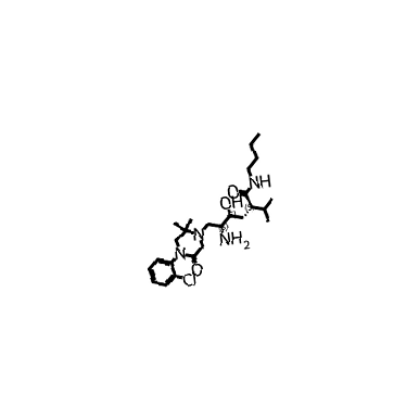 CCCCNC(=O)[C@@H](C[C@H](O)[C@@H](N)CN1CC(=O)N(c2ccccc2Cl)CC1(C)C)C(C)C